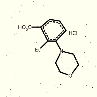 CCc1c(C(=O)O)cccc1N1CCOCC1.Cl